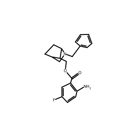 Nc1ccc(F)cc1C(=O)OCC1C2CCC1N(Cc1ccccc1)C2